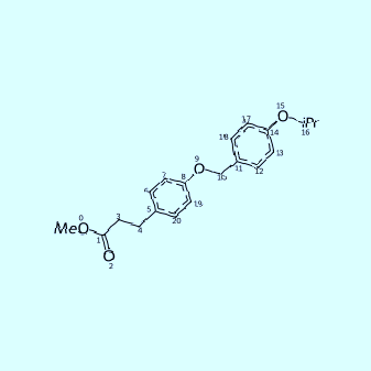 COC(=O)CCc1ccc(OCc2ccc(OC(C)C)cc2)cc1